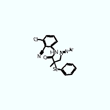 CC(CN=[N+]=[N-])([Se]c1ccccc1)C(=O)Nc1cccc(Cl)c1C#N